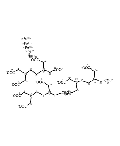 O=C([O-])CN(CCN(CC(=O)[O-])CC(=O)[O-])CC(=O)[O-].O=C([O-])CN(CCN(CC(=O)[O-])CC(=O)[O-])CC(=O)[O-].O=C([O-])CN(CCN(CC(=O)[O-])CC(=O)[O-])CC(=O)[O-].[Fe+3].[Fe+3].[Fe+3].[Fe+3].[NaH]